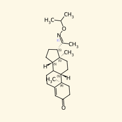 C/C(=N\OC(C)C)[C@H]1CC[C@H]2C3CCC4=CC(=O)CC[C@]4(C)[C@H]3CC[C@]12C